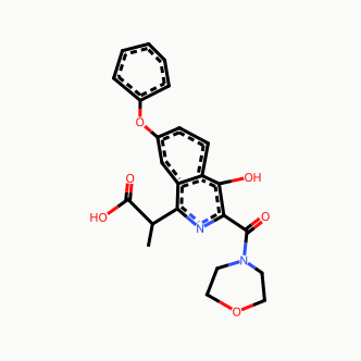 CC(C(=O)O)c1nc(C(=O)N2CCOCC2)c(O)c2ccc(Oc3ccccc3)cc12